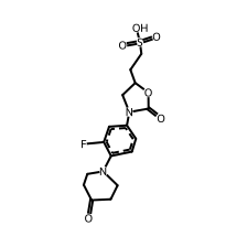 O=C1CCN(c2ccc(N3CC(CCS(=O)(=O)O)OC3=O)cc2F)CC1